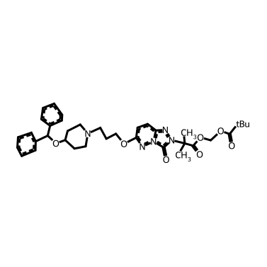 CC(C)(C)C(=O)OCOC(=O)C(C)(C)n1nc2ccc(OCCCN3CCC(OC(c4ccccc4)c4ccccc4)CC3)nn2c1=O